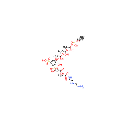 CC(=O)O.CC(=O)O.CC(=O)O.CC(=O)O.CC(=O)O.NCCNCCN.O=S(=O)(O)c1cc(O)c(O)c(S(=O)(=O)O)c1.O=S(O)O.[NaH].[NaH].[NaH]